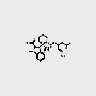 CC(C)CC(C=NO)NC(=O)[C@@H]1CCCC[C@@]1(C(N)=O)c1c(C(=O)O)n(C)c2ccccc12